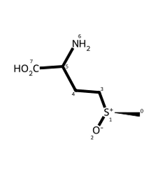 C[S@@+]([O-])CCC(N)C(=O)O